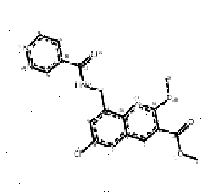 COC(=O)c1cc2cc(Cl)cc(CNC(=O)c3ccnnc3)c2nc1OC